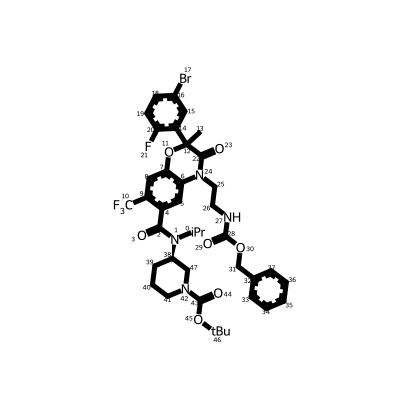 CC(C)N(C(=O)c1cc2c(cc1C(F)(F)F)OC(C)(c1cc(Br)ccc1F)C(=O)N2CCNC(=O)OCc1ccccc1)[C@@H]1CCCN(C(=O)OC(C)(C)C)C1